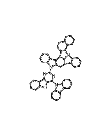 c1ccc2c(c1)ccc1c3c4c5ccccc5n(-c5nc(-n6c7ccccc7c7ccccc76)c6oc7ccccc7c6n5)c4cc4c5ccccc5n(c21)c43